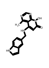 Cc1ncnc2c1c(NCc1ccc3[nH]ccc3c1)cc(=O)n2O